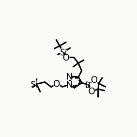 CC(C)(CO[Si](C)(C)C(C)(C)C)Cc1nn(COCC[Si](C)(C)C)cc1B1OC(C)(C)C(C)(C)O1